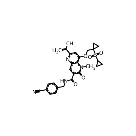 C=C(C)c1cc(OCC2(S(=O)(=O)C3CC3)CC2)c2c(cc(C(=O)NCc3ccc(C#N)cc3)c(=O)n2C)n1